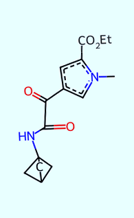 CCOC(=O)c1cc(C(=O)C(=O)NC23CC(C2)C3)cn1C